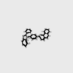 c1ccc(-c2nc3ccccc3n2-c2ccc(-c3ccc4ccc5ccccc5c4n3)cc2)cc1